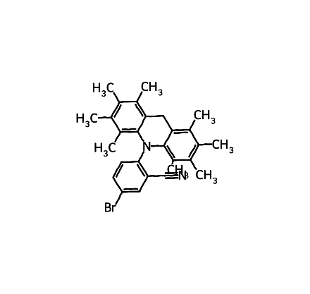 Cc1c(C)c(C)c2c(c1C)Cc1c(C)c(C)c(C)c(C)c1N2c1ccc(Br)cc1C#N